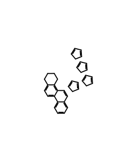 C1=CCC=C1.C1=CCC=C1.C1=CCC=C1.C1=CCC=C1.c1ccc2c(c1)ccc1c3c(ccc12)CCCC3